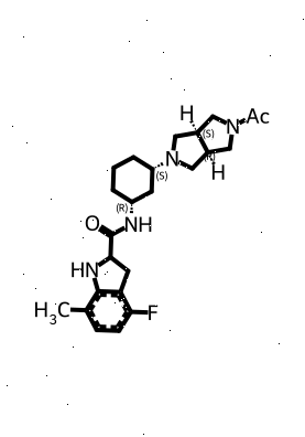 CC(=O)N1C[C@@H]2CN([C@H]3CCC[C@@H](NC(=O)C4Cc5c(F)ccc(C)c5N4)C3)C[C@@H]2C1